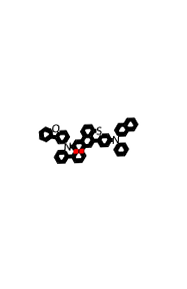 c1ccc(-c2ccccc2N(c2ccc3cc4c5c(cccc5c3c2)Sc2cc(N(c3ccccc3)c3ccc5ccccc5c3)ccc2-4)c2ccc3oc4ccccc4c3c2)cc1